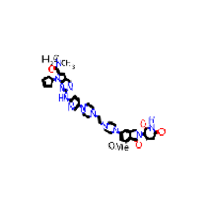 COc1cc(N2CCN(CCN3CCN(c4ccc(Nc5ncc6cc(C(=O)N(C)C)n(C7CCCC7)c6n5)nc4)CC3)CC2)cc2c1C(=O)N(C1CCC(=O)NC1=O)C2